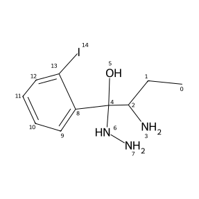 CCC(N)C(O)(NN)c1ccccc1I